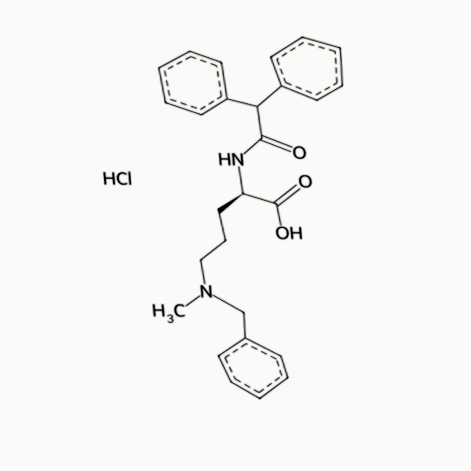 CN(CCC[C@@H](NC(=O)C(c1ccccc1)c1ccccc1)C(=O)O)Cc1ccccc1.Cl